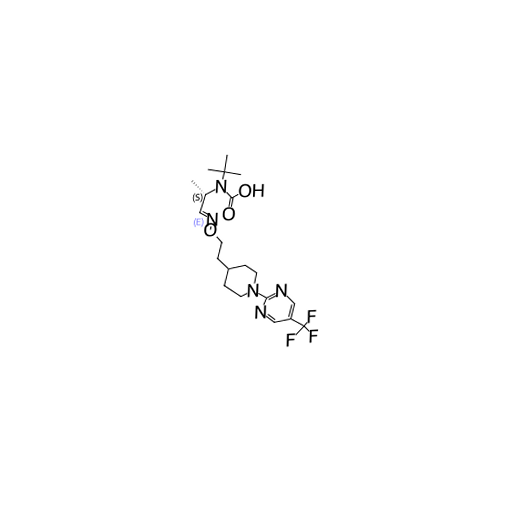 C[C@@H](/C=N/OCCC1CCN(c2ncc(C(F)(F)F)cn2)CC1)N(C(=O)O)C(C)(C)C